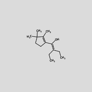 CCC(CC)=C(O)C1=C(C)C(C)(C)CC1